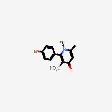 CCn1c(C)cc(=O)c(C(=O)O)c1-c1ccc(Br)cc1